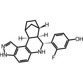 Oc1ccc([C@@H]2Nc3ccc4[nH]ncc4c3[C@H]3C4CC[C@@H](C4)[C@@H]23)c(F)c1